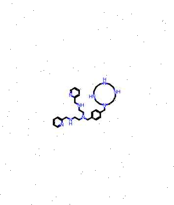 c1ccc(CNCCN(CCNCc2ccccn2)Cc2ccc(CN3CCCNCCNCCCNCC3)cc2)nc1